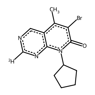 [2H]c1ncc2c(C)c(Br)c(=O)n(C3CCCC3)c2n1